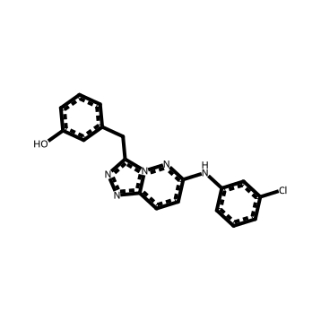 Oc1cccc(Cc2nnc3ccc(Nc4cccc(Cl)c4)nn23)c1